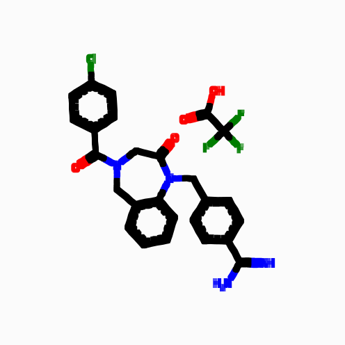 N=C(N)c1ccc(CN2C(=O)CN(C(=O)c3ccc(Cl)cc3)Cc3ccccc32)cc1.O=C(O)C(F)(F)F